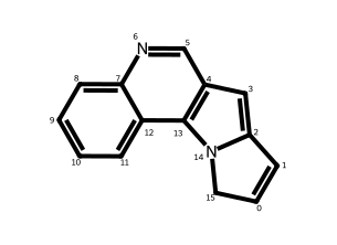 C1=Cc2cc3cnc4ccccc4c3n2C1